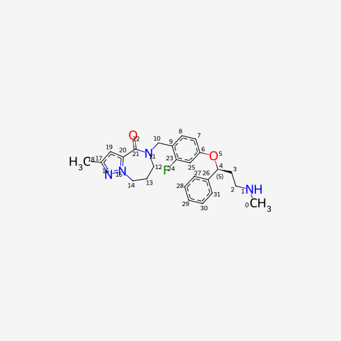 CNCC[C@H](Oc1ccc(CN2CCCn3nc(C)cc3C2=O)c(F)c1)c1ccccc1